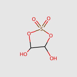 O=S1(=O)OC(O)C(O)O1